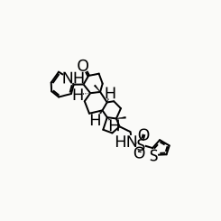 C[C@]12CCC(=O)C(C3=CC=CC=CN3)[C@@H]1CC[C@@H]1[C@@H]2CC[C@]2(C)C(CNS(=O)(=O)c3cccs3)CC[C@@H]12